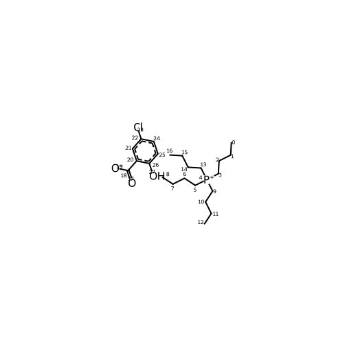 CCCC[P+](CCCC)(CCCC)CCCC.O=C([O-])c1cc(Cl)ccc1O